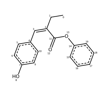 CCC(=Cc1ccc(O)cc1)C(=O)Oc1ccccc1